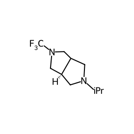 CC(C)N1CC2CN(C(F)(F)F)C[C@@H]2C1